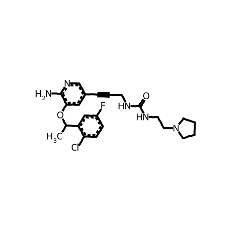 CC(Oc1cc(C#CCNC(=O)NCCN2CCCC2)cnc1N)c1cc(F)ccc1Cl